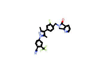 Cc1nn(-c2ccc(C#N)c(C(F)(F)F)c2)c(C)c1-c1ccc(CN2Cc3ncccc3C2=O)c(F)c1